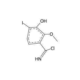 COc1c(C(=N)Cl)ccc(I)c1O